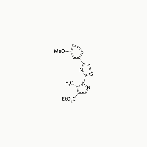 CCOC(=O)c1cnn(-c2nc(-c3cccc(OC)c3)cs2)c1C(F)(F)F